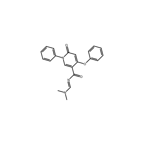 CN(C)C=NC(=O)c1cn(-c2ccccc2)c(=O)cc1Oc1ccccc1